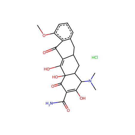 COc1cccc2c1C(=O)C1=C(O)C3(O)C(=O)C(C(N)=O)=C(O)C(N(C)C)C3CC1C2.Cl